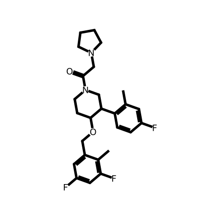 Cc1cc(F)ccc1C1CN(C(=O)CN2CCCC2)CCC1OCc1cc(F)cc(F)c1C